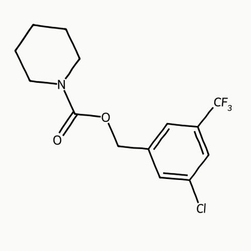 O=C(OCc1cc(Cl)cc(C(F)(F)F)c1)N1CCCCC1